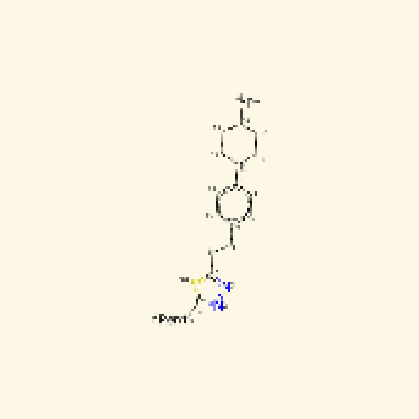 CCCCCc1nnc(CCc2ccc(C3CCC(CCC)CC3)cc2)s1